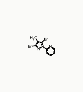 Cc1c(Br)nn(-c2ccccn2)c1Br